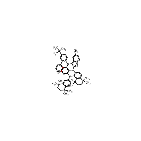 Cc1cc2c3c(c1)N(c1ccc(C(C)(C)C)cc1-c1ccccc1)c1c(sc4ccc(C)cc14)B3c1ccc3c(c1N2c1ccc2c(c1)C(C)(C)CCC2(C)C)C(C)(C)CCC3(C)C